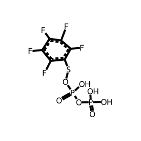 O=P(O)(O)OP(=O)(O)OSc1c(F)c(F)c(F)c(F)c1F